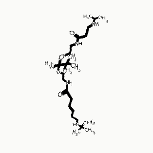 CC(C)NCCC(=O)NCCOC(C)(OCCNC(=O)CCCCCNC(C)(C)C)C(C)(C)C